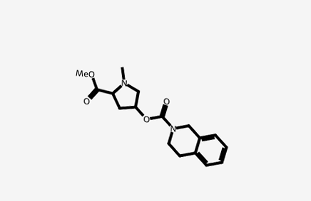 COC(=O)C1CC(OC(=O)N2CCc3ccccc3C2)CN1C